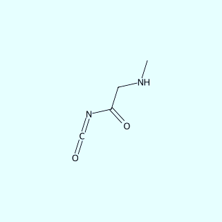 CNCC(=O)N=C=O